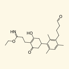 CCOC(=N)CCC1=C(O)CC(c2c(C)cc(C)c(CCCC=O)c2C)CC1=O